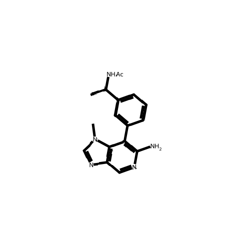 CC(=O)NC(C)c1cccc(-c2c(N)ncc3ncn(C)c23)c1